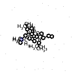 C=c1cccc/c1=C/C(=C\C)c1ccc(N(c2ccc(C(C)(C)C)cc2)c2cc3c(c4oc5ccccc5c24)-c2c(cc(N(c4ccc(-c5ccc6ccccc6c5)cc4)c4ccc(C(C)(C)C)cc4)c4c2oc2ccccc24)C32c3ccccc3-c3cc(C)cnc32)cc1